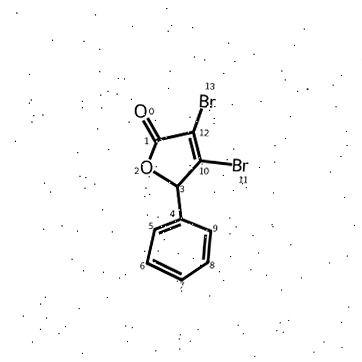 O=C1OC(c2ccccc2)C(Br)=C1Br